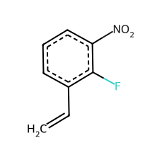 C=Cc1cccc([N+](=O)[O-])c1F